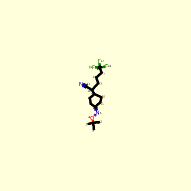 CC(C)(C)ON=C1CCC(C(C#N)CCCC(F)(F)F)CC1